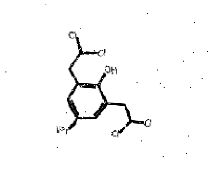 CC(C)c1cc(CC(Cl)Cl)c(O)c(CC(Cl)Cl)c1